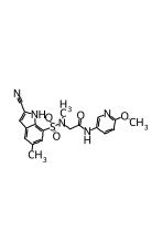 COc1ccc(NC(=O)CN(C)S(=O)(=O)c2cc(C)cc3cc(C#N)[nH]c23)cn1